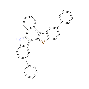 c1ccc(-c2ccc3sc4c(c3c2)c2ccccc2c2[nH]c3ccc(-c5ccccc5)cc3c24)cc1